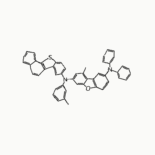 Cc1cccc(N(c2cc(C)c3c(c2)oc2ccc(N(c4ccccc4)c4ccccc4)cc23)c2ccc3sc4c5ccccc5ccc4c3c2)c1